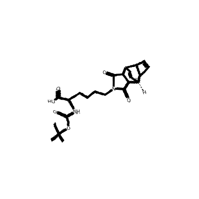 CC(C)(C)OC(=O)NC(CCCCN1C(=O)C2C3C=C[C@@H](C4C=CC34)C2C1=O)C(=O)O